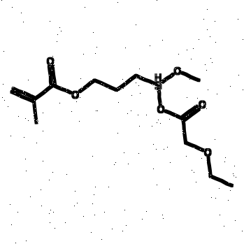 C=C(C)C(=O)OCCC[SiH](OC)OC(=O)COCC